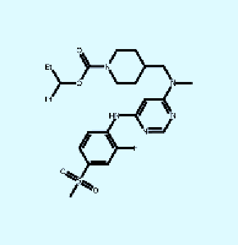 CCC(CC)OC(=O)N1CCC(CN(C)c2cc(Nc3ccc(S(C)(=O)=O)cc3F)ncn2)CC1